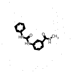 CNC(=O)c1cccc(NC(=O)Nc2ccccc2)c1